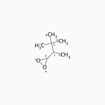 CC([C]1OO1)C(C)(C)C